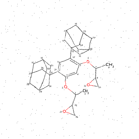 CC(Oc1cc(OC(C)C2CO2)c(C23CC4CC(CC(C4)C2)C3)cc1C12CC3CC(CC(C3)C1)C2)C1CO1